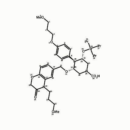 COCCCOc1ccc([C@@H]2[C@@H](OCc3ccc4c(c3)N(CCCOC)C(=O)CO4)CN(C(=O)O)C[C@H]2O[Si](C(C)C)(C(C)C)C(C)C)cc1